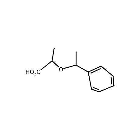 CC(OC(C)c1ccccc1)C(=O)O